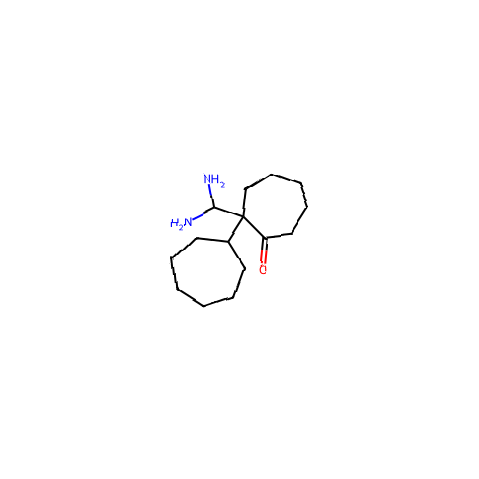 NC(N)C1(C2CCCCCC2)CCCCCC1=O